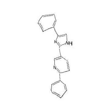 c1ccc(-c2ccc(-c3nc(-c4ccccc4)c[nH]3)cn2)cc1